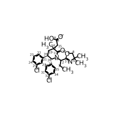 CCC(C1=NC(C)(C)CO1)N1C(=O)[C@@](C)(CC(=O)O)C[C@H](c2cccc(Cl)c2)[C@H]1c1ccc(Cl)cc1